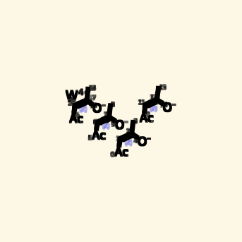 CC(=O)/C=C(/C)[O-].CC(=O)/C=C(/C)[O-].CC(=O)/C=C(/C)[O-].CC(=O)/C=C(/C)[O-].[W+4]